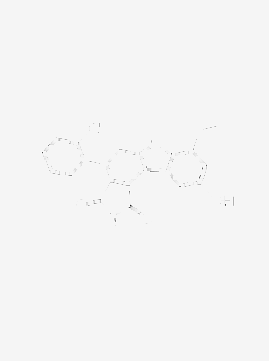 CCc1cc(O)cc2c1oc1cc(-c3ccccc3Cl)c3c(c12)C(=O)NC3=O